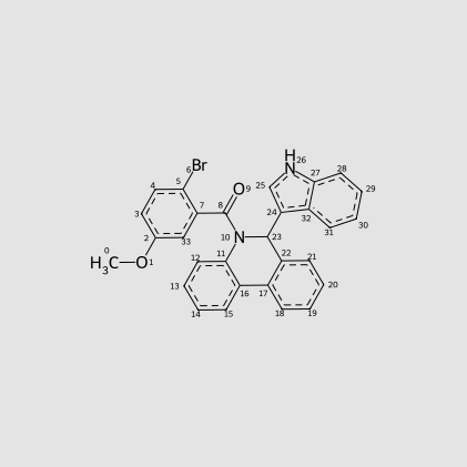 COc1ccc(Br)c(C(=O)N2c3ccccc3-c3ccccc3C2c2c[nH]c3ccccc23)c1